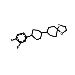 Fc1ccc(C2CCC(C3CCC4(CC3)OCCO4)CC2)cc1F